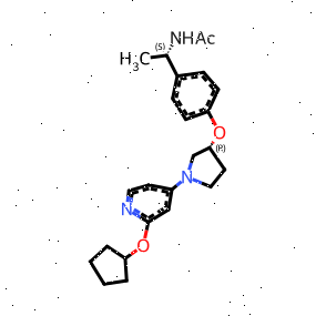 CC(=O)N[C@@H](C)c1ccc(O[C@@H]2CCN(c3ccnc(OC4CCCC4)c3)C2)cc1